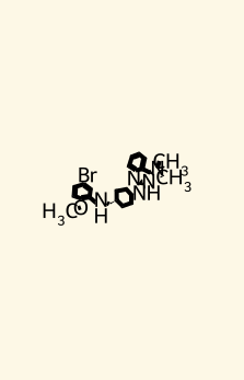 COc1ccc(Br)cc1CNC[C@H]1CC[C@@H](Nc2nc(N(C)C)c3ccccc3n2)CC1